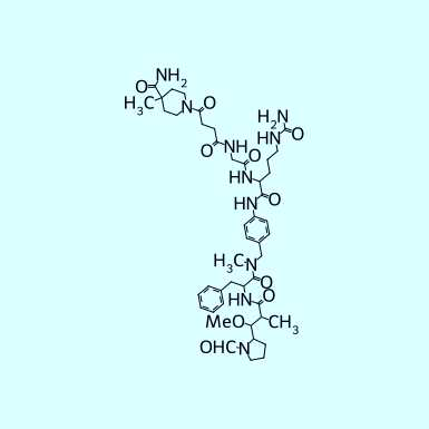 COC(C(C)C(=O)NC(Cc1ccccc1)C(=O)N(C)Cc1ccc(NC(=O)C(CCCNC(N)=O)NC(=O)CNC(=O)CCC(=O)N2CCC(C)(C(N)=O)CC2)cc1)C1CCCN1C=O